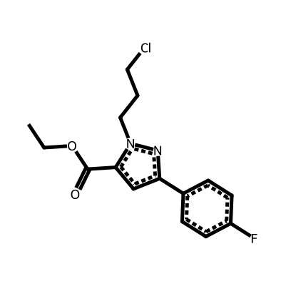 CCOC(=O)c1cc(-c2ccc(F)cc2)nn1CCCCl